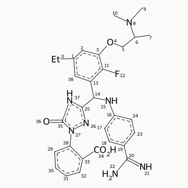 CCc1cc(OCC(C)N(C)C)c(F)c(C(Nc2ccc(C(=N)N)cc2)c2nn(-c3ccccc3C(=O)O)c(=O)[nH]2)c1